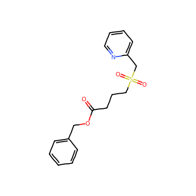 O=C(CCCS(=O)(=O)Cc1ccccn1)OCc1ccccc1